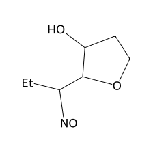 CCC(N=O)C1OCCC1O